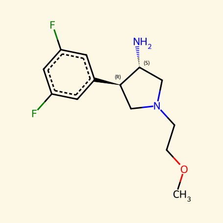 COCCN1C[C@@H](N)[C@H](c2cc(F)cc(F)c2)C1